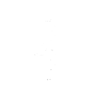 CCCCCCCCCCCCCCCN(CCCCCCCCCCCCCCC)C(=O)CC#N